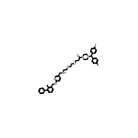 Cc1c(COc2ccc(CNCCOCCOCCC(=O)N3CCN(C(c4ccc(F)cc4)c4ccc(F)cc4)CC3)cn2)cccc1-c1ccccc1